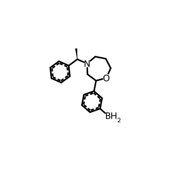 Bc1cccc(C2CN([C@H](C)c3ccccc3)CCCO2)c1